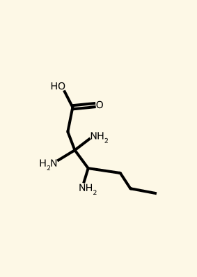 CCCC(N)C(N)(N)CC(=O)O